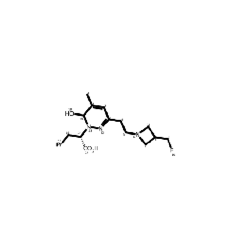 CC1=CC(CCN2CC(CF)C2)=NN([C@@H](CC(C)C)C(=O)O)C1O